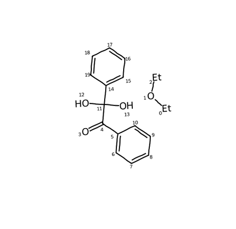 CCOCC.O=C(c1ccccc1)C(O)(O)c1ccccc1